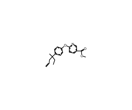 C=CCC(C)(CC)c1ccc(Oc2ccc(C(=O)OC)cn2)cc1